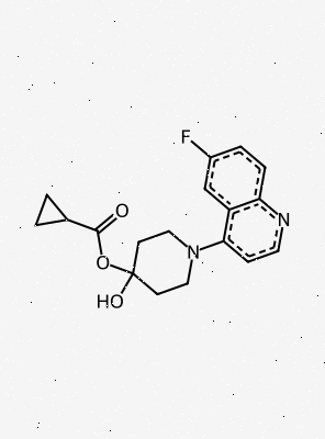 O=C(OC1(O)CCN(c2ccnc3ccc(F)cc23)CC1)C1CC1